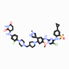 COc1cc(N2CCC(CN3CCN(c4ccc(NC5CCC(=O)NC5=O)cc4F)CC3)CC2)c(-c2cnn(C)c2)cc1Nc1ncc(Cl)c(Nc2ccc(C3CC3)cc2P(C)(C)=O)n1